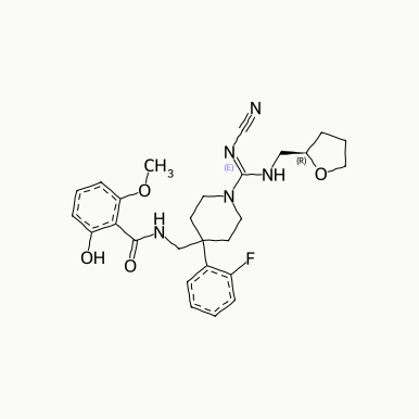 COc1cccc(O)c1C(=O)NCC1(c2ccccc2F)CCN(/C(=N/C#N)NC[C@H]2CCCO2)CC1